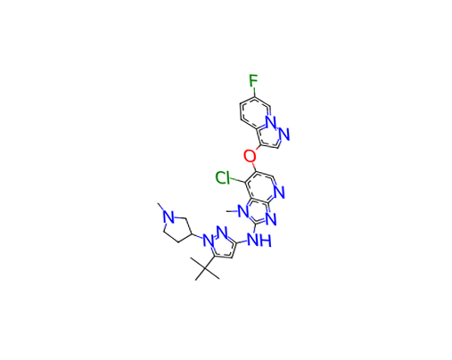 CN1CCC(n2nc(Nc3nc4ncc(Oc5cnn6cc(F)ccc56)c(Cl)c4n3C)cc2C(C)(C)C)C1